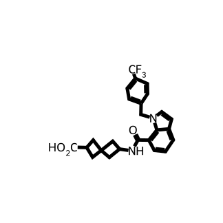 O=C(NC1CC2(C1)CC(C(=O)O)C2)c1cccc2ccn(Cc3ccc(C(F)(F)F)cc3)c12